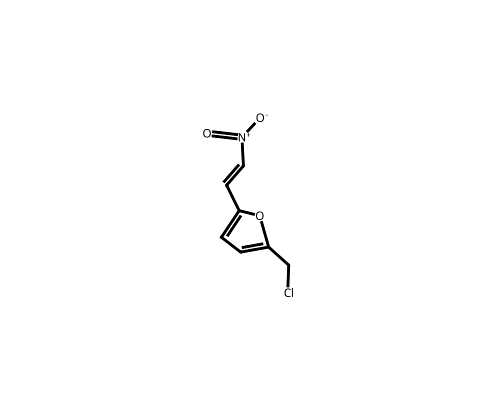 O=[N+]([O-])/C=C/c1ccc(CCl)o1